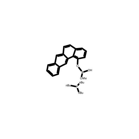 CCCCP(CCCC)CCCC.COB(O)Oc1cccc2ccc3cc4ccccc4cc3c12